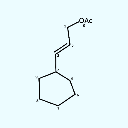 CC(=O)OCC=CC1CCCCC1